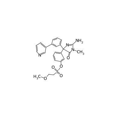 COCCS(=O)(=O)Oc1cccc(C2(c3cccc(-c4cccnc4)c3)N=C(N)N(C)C2=O)c1